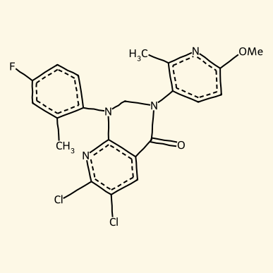 COc1ccc(N2CN(c3ccc(F)cc3C)c3nc(Cl)c(Cl)cc3C2=O)c(C)n1